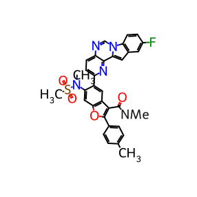 CNC(=O)c1c(-c2ccc(C)cc2)oc2cc(N(C)S(C)(=O)=O)c(-c3ccc4ncn5c6ccc(F)cc6cc5c4n3)cc12